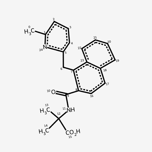 Cc1cccc(Cc2c(C(=O)NC(C)(C)C(=O)O)ccc3ccccc23)n1